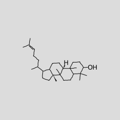 CC(C)=CCCC(C)C1CC[C@]2(C)C1CC[C@@H]1C3(C)CCC(O)C(C)(C)C3CCC12C